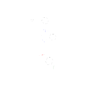 COc1ccccc1CN[C@H]1CCCN(CCCC(=O)c2ccc(F)cc2)[C@H]1c1ccccc1